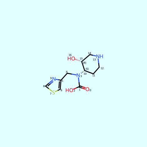 O=C(O)N(Cc1cscn1)[C@H]1CCNC[C@H]1O